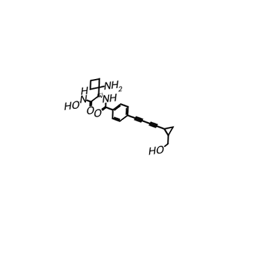 NC1([C@H](NC(=O)c2ccc(C#CC#CC3CC3CO)cc2)C(=O)NO)CCC1